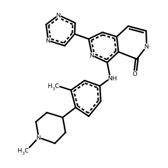 Cc1cc(Nc2nc(-c3cncnc3)cc3c2C(=O)[N]C=C3)ccc1C1CCN(C)CC1